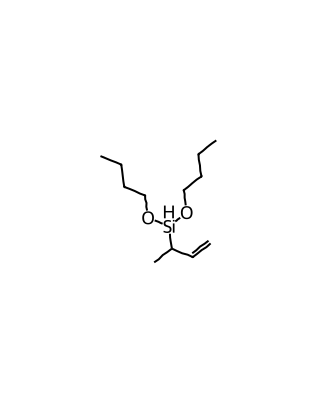 C=CC(C)[SiH](OCCCC)OCCCC